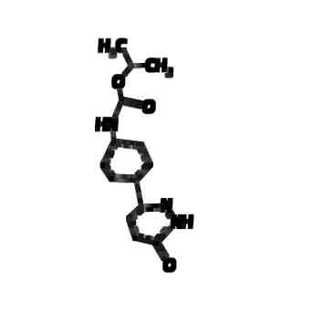 CC(C)OC(=O)Nc1ccc(-c2ccc(=O)[nH]n2)cc1